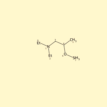 CCN(CC)CC(C)O[SiH3]